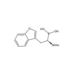 CC(=O)N[C@@H](Cc1coc2ccccc12)B(O)O